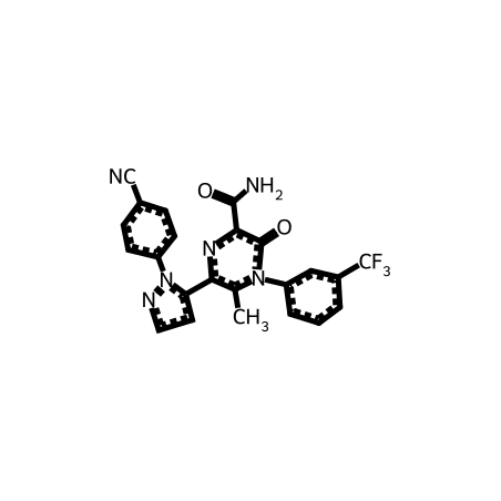 Cc1c(-c2ccnn2-c2ccc(C#N)cc2)nc(C(N)=O)c(=O)n1-c1cccc(C(F)(F)F)c1